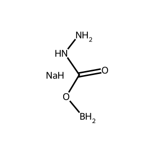 BOC(=O)NN.[NaH]